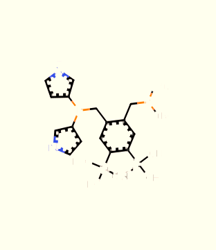 CC(C)(C)P(Cc1cc([Si](C)(C)C)c([Si](C)(C)C)cc1CP(c1cc[nH]c1)c1cc[nH]c1)C(C)(C)C